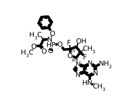 CNc1nc(N)nc2c1ncn2[C@@H]1O[C@](F)(CO[PH](=O)N(Oc2ccccc2)[C@@H](C)C(=O)OC)[C@@H](O)[C@@]1(C)F